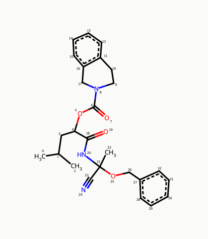 CC(C)CC(OC(=O)N1CCc2ccccc2C1)C(=O)NC(C)(C#N)OCc1ccccc1